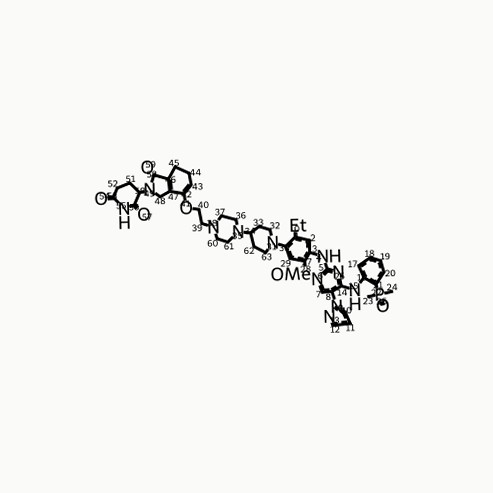 CCc1cc(Nc2ncc(-n3cccn3)c(Nc3ccccc3P(C)(C)=O)n2)c(OC)cc1N1CCC(N2CCN(CCOC3=CCCC4=C3CN(C3CCC(=O)NC3=O)C4=O)CC2)CC1